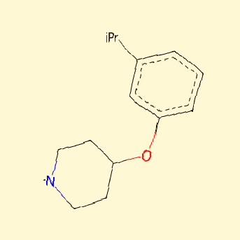 CC(C)c1cccc(OC2CC[N]CC2)c1